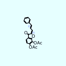 CC(=O)Oc1ccc2c(c1OC(C)=O)O/C(=C/C=C/c1ccccc1)C2=O